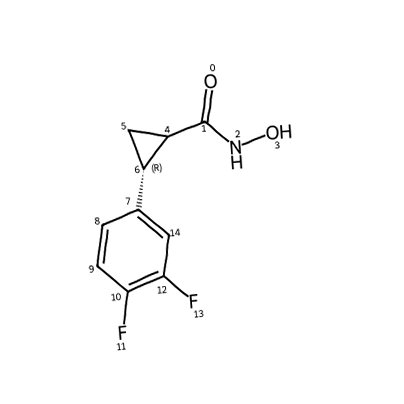 O=C(NO)C1C[C@H]1c1ccc(F)c(F)c1